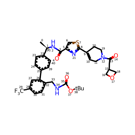 C[C@@H](NC(=O)c1csc(C2=CCN(C(=O)C3COC3)CC2)n1)c1ccc(-c2cc(C(F)(F)F)ccc2CNC(=O)OC(C)(C)C)cc1